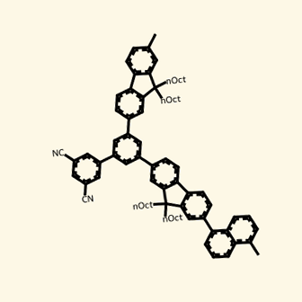 CCCCCCCCC1(CCCCCCCC)c2cc(C)ccc2-c2ccc(-c3cc(-c4cc(C#N)cc(C#N)c4)cc(-c4ccc5c(c4)C(CCCCCCCC)(CCCCCCCC)c4cc(-c6cccc7c(C)cccc67)ccc4-5)c3)cc21